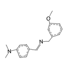 COc1cccc(C/N=C/c2ccc(N(C)C)cc2)c1